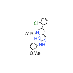 COc1cccc(NC2=NC=C3CC(c4ccccc4Cl)=CN(OC)C3N2)c1